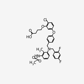 Cc1c(NS(C)(=O)=O)cccc1N(Cc1ccc(Oc2ccc(Cl)c(OCCCC(=O)O)c2)cc1)Cc1ccc(F)cc1F